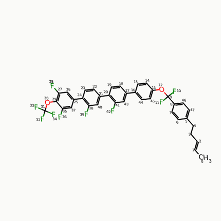 C/C=C/CCc1ccc(C(F)(F)Oc2ccc(-c3ccc(-c4ccc(-c5cc(F)c(OC(F)(F)F)c(F)c5)c(F)c4)c(F)c3)cc2)cc1